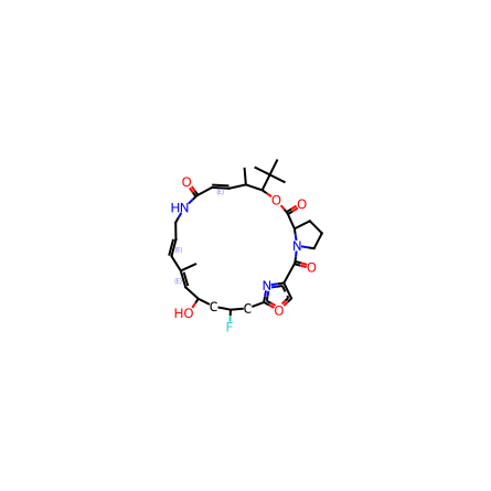 CC1=C\C(O)CC(F)Cc2nc(co2)C(=O)N2CCCC2C(=O)OC(C(C)(C)C)C(C)/C=C/C(=O)NC\C=C\1